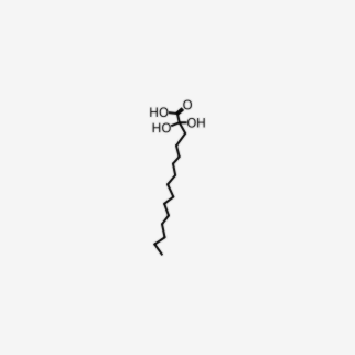 CCCCCCCCCCCCCC(O)(O)C(=O)O